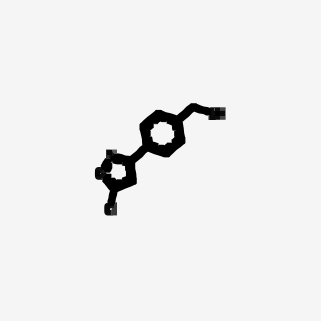 SCc1ccc(-c2cc(Cl)on2)cc1